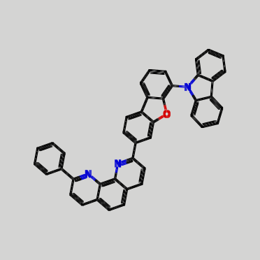 c1ccc(-c2ccc3ccc4ccc(-c5ccc6c(c5)oc5c(-n7c8ccccc8c8ccccc87)cccc56)nc4c3n2)cc1